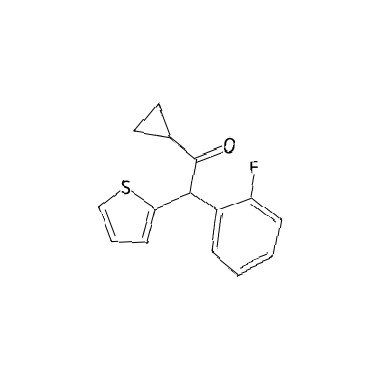 O=C(C1CC1)C(c1cccs1)c1ccccc1F